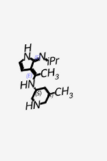 C/C(N[C@@H]1CNC[C@H](C)C1)=C1/C=CN/C1=N/C(C)C